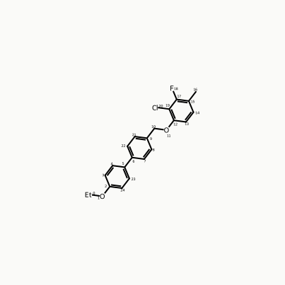 CCOc1ccc(-c2ccc(COc3ccc(C)c(F)c3Cl)cc2)cc1